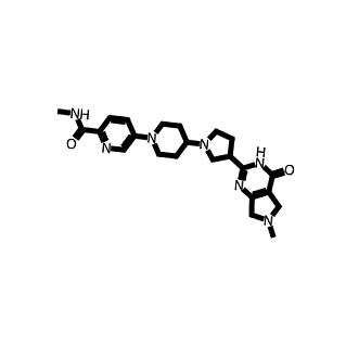 CNC(=O)c1ccc(N2CCC(N3CCC(c4nc5c(c(=O)[nH]4)CN(C)C5)C3)CC2)cn1